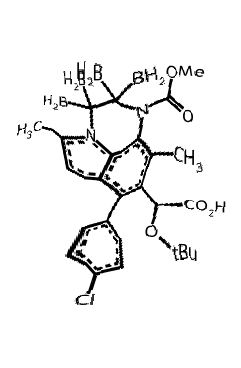 BC1(B)N(C(=O)OC)c2c(C)c([C@H](OC(C)(C)C)C(=O)O)c(-c3ccc(Cl)cc3)c3cc(C)n(c23)C1(B)B